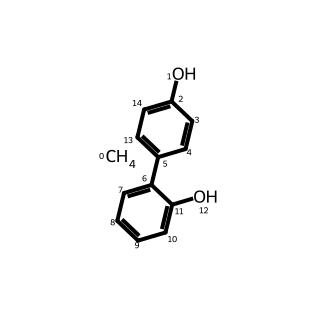 C.Oc1ccc(-c2ccccc2O)cc1